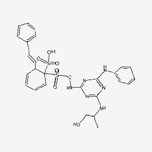 CC(CO)Nc1nc(NOS(=O)(=O)C2(S(=O)(=O)O)C=CC=CC2C=Cc2ccccc2)nc(Nc2ccccc2)n1